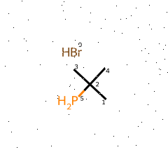 Br.CC(C)(C)P